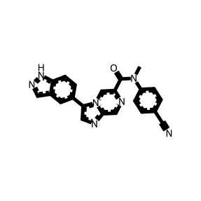 CN(C(=O)c1cn2c(-c3ccc4[nH]ncc4c3)cnc2cn1)c1ccc(C#N)cc1